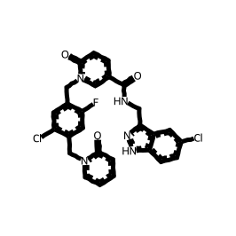 O=C(NCc1n[nH]c2ccc(Cl)cc12)c1ccc(=O)n(Cc2cc(Cl)c(Cn3ccccc3=O)cc2F)c1